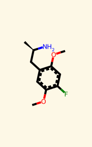 COc1cc(C[C@@H](C)N)c(OC)cc1F